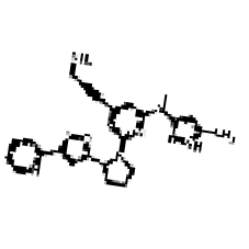 Cc1cc(Nc2cc(C#CCN)nc(N3CCC[C@H]3c3cc(-c4ccccn4)no3)n2)n[nH]1